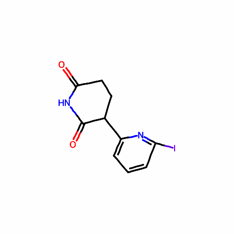 O=C1CCC(c2cccc(I)n2)C(=O)N1